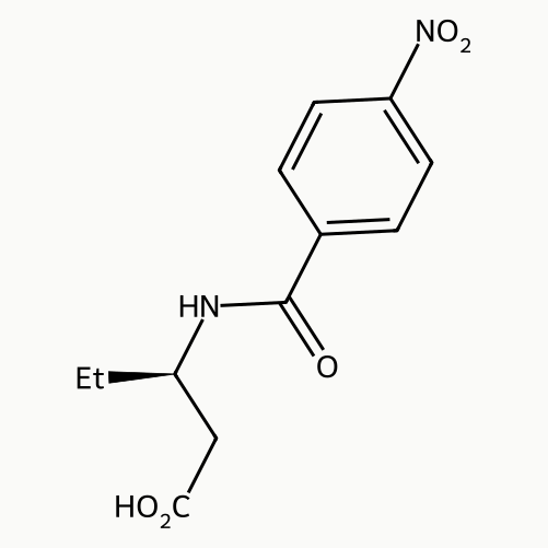 CC[C@H](CC(=O)O)NC(=O)c1ccc([N+](=O)[O-])cc1